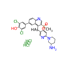 CS(=O)(=O)c1cnc2ccc(-c3cc(Cl)c(O)c(Cl)c3)cc2c1[AsH]c1ccc(N2CCCC(N)C2)nc1.Cl.Cl.Cl